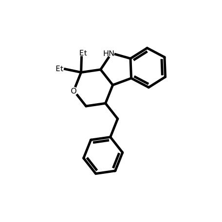 CCC1(CC)OCC(Cc2ccccc2)C2c3ccccc3NC21